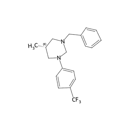 C[C@@H]1CN(Cc2ccccc2)CN(c2ccc(C(F)(F)F)cc2)C1